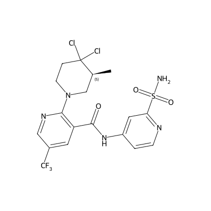 C[C@H]1CN(c2ncc(C(F)(F)F)cc2C(=O)Nc2ccnc(S(N)(=O)=O)c2)CCC1(Cl)Cl